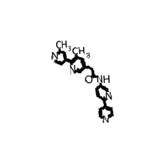 Cc1cc(-c2ncc(CC(=O)Nc3ccc(-c4ccncc4)nc3)cc2C)ccn1